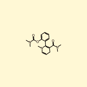 CN(C)C(=O)Oc1ccccc1C1=C(C(=O)N(C)C)CC=CN1C